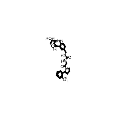 O=C(NCC(=O)N1CCCC1c1ccccc1C(F)(F)F)NCc1ccc2c(c1)[C@@H]1C[C@H](N2)[C@H](O)CO1